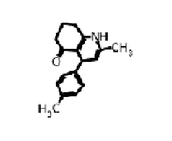 CC1=CC(c2ccc(C)cc2)C2=C(CCCC2=O)N1